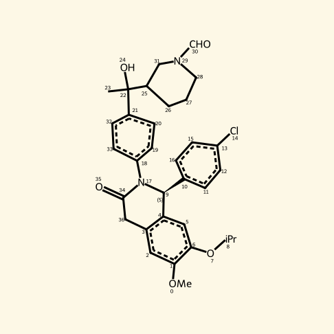 COc1cc2c(cc1OC(C)C)[C@H](c1ccc(Cl)cc1)N(c1ccc(C(C)(O)C3CCCN(C=O)C3)cc1)C(=O)C2